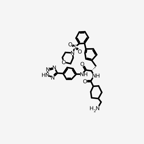 NCC1CCC(C(=O)N[C@@H](Cc2ccc(-c3ccccc3S(=O)(=O)N3CCOCC3)cc2)C(=O)Nc2ccc(-c3nn[nH]n3)cc2)CC1